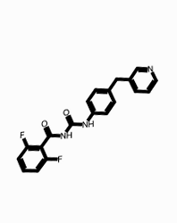 O=C(NC(=O)c1c(F)cccc1F)Nc1ccc(Cc2cccnc2)cc1